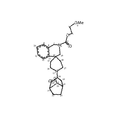 COCCOC(=O)N1Cc2ccccc2C2(CCN(C3CC4CCC(C3)N4C=O)CC2)C1